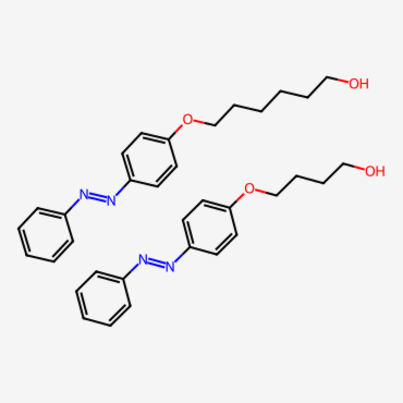 OCCCCCCOc1ccc(N=Nc2ccccc2)cc1.OCCCCOc1ccc(N=Nc2ccccc2)cc1